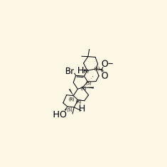 COC(=O)[C@]12CCC(C)(C)C[C@H]1C1=C(Br)CC3[C@@]4(C)CC[C@H](O)C(C)(C)[C@@H]4CC[C@@]3(C)[C@]1(C)CC2